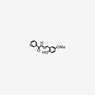 COc1ccc(O)c(/C=N/NC(=O)c2cccnc2)c1